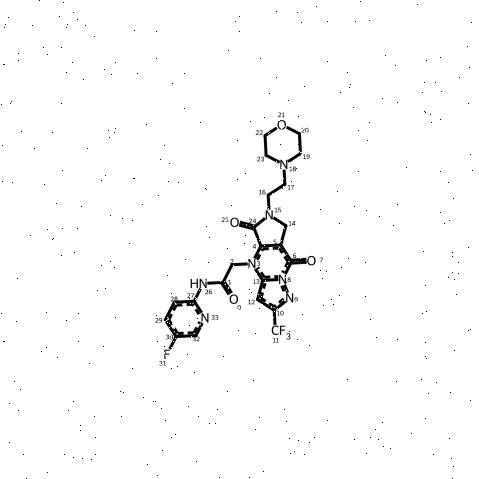 O=C(Cn1c2c(c(=O)n3nc(C(F)(F)F)cc13)CN(CCN1CCOCC1)C2=O)Nc1ccc(F)cn1